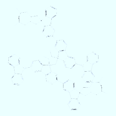 CCC1(CC2(CC)c3ccc(-n4c5ccccc5c5ccccc54)cc3-c3ccc(-c4ccc5c(c4)-c4ccccc4C5(CCCC(C)C)CCCC(C)C)cc32)c2ccc(-n3c4ccccc4c4ccccc43)cc2-c2ccc(-c3ccc4c(c3)-c3ccccc3C4(CCCC(C)C)CCCC(C)C)cc21